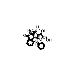 CC(C)(C)[C@@H]1[C@H](O)[C@@H](CO)O[C@]1(n1ccc(=O)[nH]c1=O)[SiH](c1ccccc1)c1ccccc1